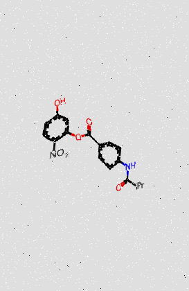 CC(C)C(=O)Nc1ccc(C(=O)Oc2cc(O)ccc2[N+](=O)[O-])cc1